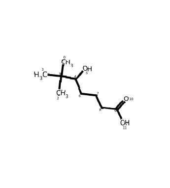 CC(C)(C)C(O)CCCC(=O)O